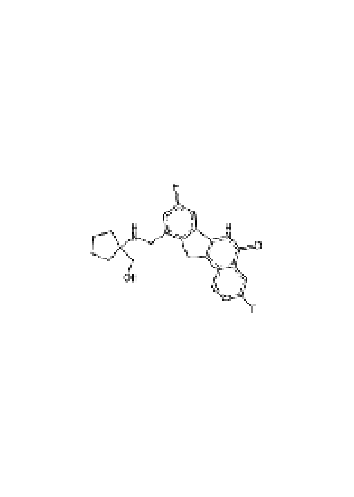 O=c1[nH]c2c(c3ccc(F)cc13)Cc1c(CNC3(CO)CCCC3)cc(F)cc1-2